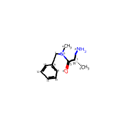 C[C@@H](N)C(=O)N(C)Cc1ccccc1